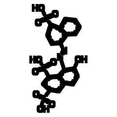 O=S(=O)(O)c1cc(S(=O)(=O)O)c2c(N=Nc3ccc(S(=O)(=O)O)c4ccccc34)c(O)ccc2c1